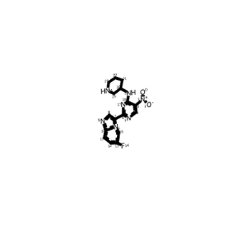 O=[N+]([O-])c1cnc(-c2cnc3ccc(F)cn23)nc1NC1CCCNC1